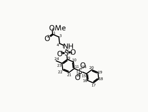 COC(=O)CCNS(=O)(=O)c1cc(S(=O)(=O)c2ccccc2)ccc1C